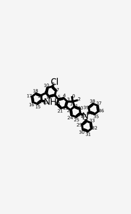 CC1(C)c2cc(-c3cc(Cl)cc4c3[nH]c3ccccc34)ccc2-c2ccc(N(c3ccccc3)c3ccccc3)cc21